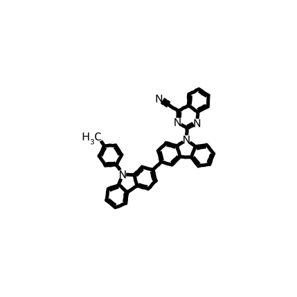 Cc1ccc(-n2c3ccccc3c3ccc(-c4ccc5c(c4)c4ccccc4n5-c4nc(C#N)c5ccccc5n4)cc32)cc1